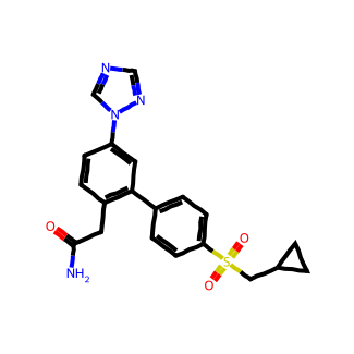 NC(=O)Cc1ccc(-n2cncn2)cc1-c1ccc(S(=O)(=O)CC2CC2)cc1